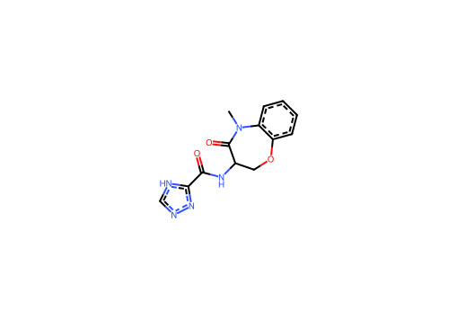 CN1C(=O)C(NC(=O)c2nnc[nH]2)COc2ccccc21